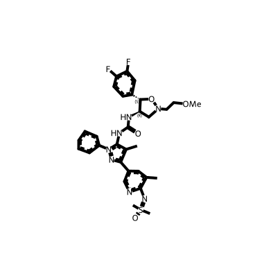 COCCN1C[C@@H](NC(=O)Nc2c(C)c(-c3cnc(N=S(C)(C)=O)c(C)c3)nn2-c2ccccc2)[C@H](c2ccc(F)c(F)c2)O1